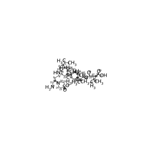 CC(C)[C@@H]1CC[C@]2(NCC[C@H](CN)N3CCS(=O)(=O)CC3)CC[C@]3(C)[C@H](CC[C@@H]4[C@@]5(C)CC[C@H](OC(=O)[C@H]6[C@@H](C(=O)O)C6(C)C)C(C)(C)[C@@H]5CC[C@]43C)[C@@H]12